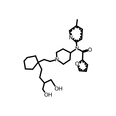 Cc1ccc(N(C(=O)c2ccco2)C2CCN(CCC3(CCC(CO)CO)CCCCC3)CC2)nc1